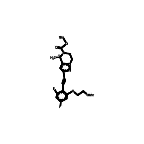 COCCOc1cc(F)cc(F)c1C#Cc1cc2n(n1)CCN(C(=O)OC(C)(C)C)[C@@H]2C